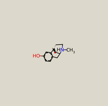 CN1CC[C@@]23CCCC[C@@H]2C1Cc1ccc(O)cc13